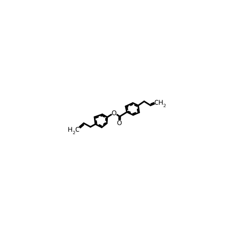 C=CCc1ccc(OC(=O)c2ccc(CC=C)cc2)cc1